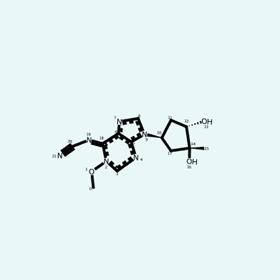 COn1cnc2c(ncn2[C@H]2C[C@H](O)[C@](C)(O)C2)c1=NC#N